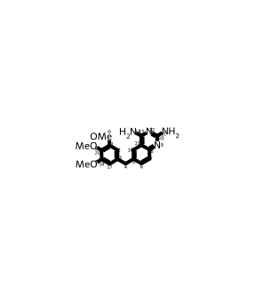 COc1cc(Cc2ccc3nc(N)nc(N)c3c2)cc(OC)c1OC